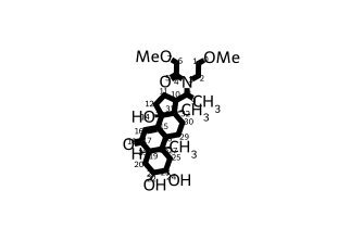 COCCN(C(=O)COC)C(C)C1CC[C@@]2(O)C3=CC(=O)[C@@H]4C[C@@H](O)[C@@H](O)C[C@]4(C)C3CC[C@]12C